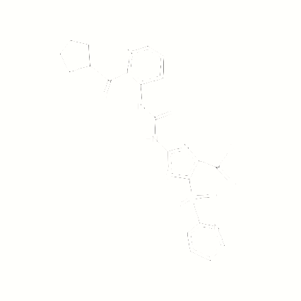 O=C(Nc1nc(C(=O)O)c(S(=O)(=O)c2ccccn2)s1)Nc1cccnc1C(=O)C1CCCC1